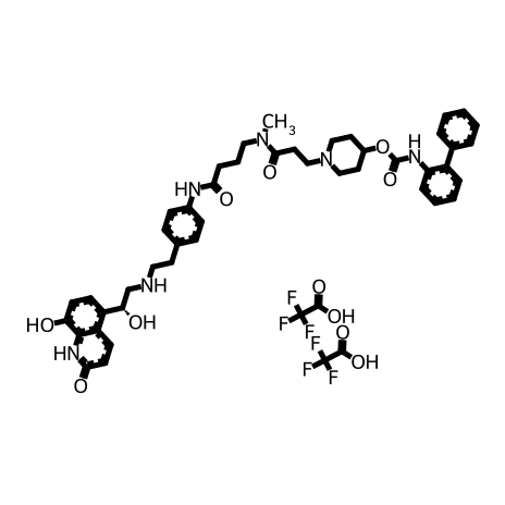 CN(CCCC(=O)Nc1ccc(CCNC[C@H](O)c2ccc(O)c3[nH]c(=O)ccc23)cc1)C(=O)CCN1CCC(OC(=O)Nc2ccccc2-c2ccccc2)CC1.O=C(O)C(F)(F)F.O=C(O)C(F)(F)F